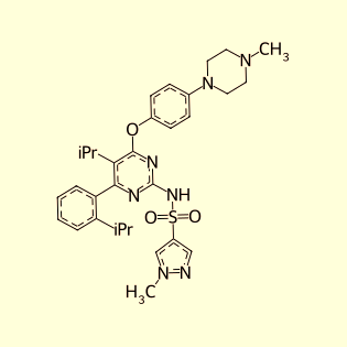 CC(C)c1ccccc1-c1nc(NS(=O)(=O)c2cnn(C)c2)nc(Oc2ccc(N3CCN(C)CC3)cc2)c1C(C)C